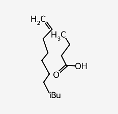 C=CCCCCCC(C)CC.CCCC(=O)O